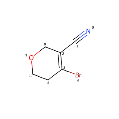 N#CC1=C(Br)CCOC1